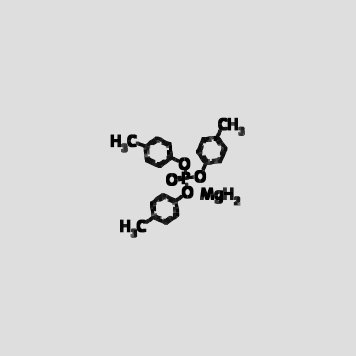 Cc1ccc(OP(=O)(Oc2ccc(C)cc2)Oc2ccc(C)cc2)cc1.[MgH2]